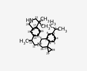 CC(C)c1ccc2c(c1)CN(CC(C)c1ccc3c(c1)CNCC3(C)C)CC21CC1